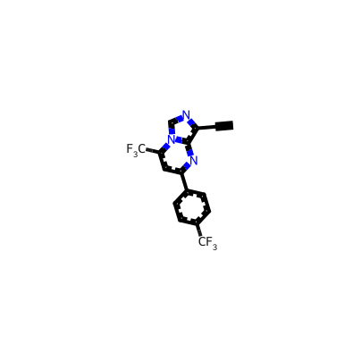 C#Cc1ncn2c(C(F)(F)F)cc(-c3ccc(C(F)(F)F)cc3)nc12